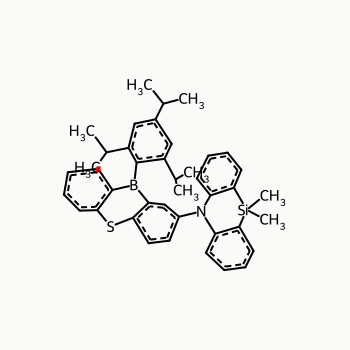 CC(C)c1cc(C(C)C)c(B2c3ccccc3Sc3ccc(N4c5ccccc5[Si](C)(C)c5ccccc54)cc32)c(C(C)C)c1